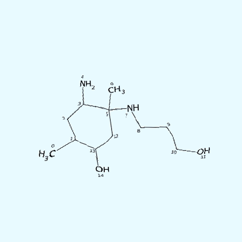 CC1CC(N)C(C)(NCCCO)CC1O